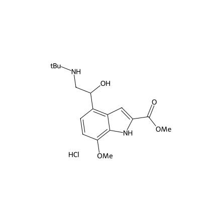 COC(=O)c1cc2c(C(O)CNC(C)(C)C)ccc(OC)c2[nH]1.Cl